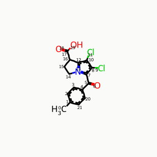 Cc1ccc(C(=O)c2c(Cl)c(Cl)c3n2CCC3C(=O)O)cc1